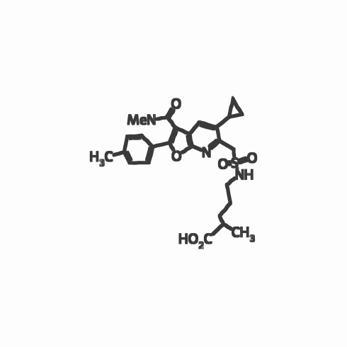 CNC(=O)c1c(-c2ccc(C)cc2)oc2nc(CS(=O)(=O)NCCCC(C)C(=O)O)c(C3CC3)cc12